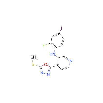 CSc1nnc(-c2ccncc2Nc2ccc(I)cc2F)o1